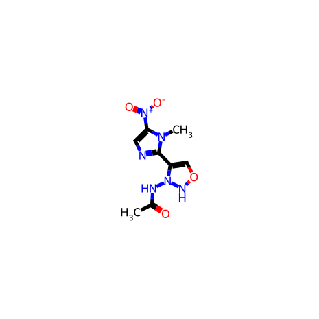 CC(=O)NN1NOC=C1c1ncc([N+](=O)[O-])n1C